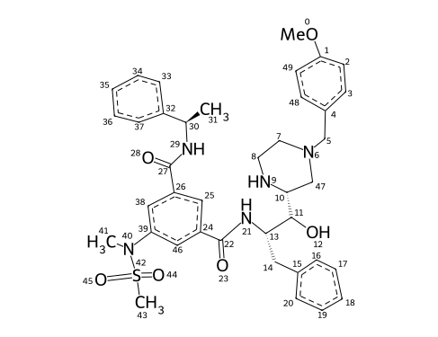 COc1ccc(CN2CCN[C@@H](C(O)[C@H](Cc3ccccc3)NC(=O)c3cc(C(=O)N[C@H](C)c4ccccc4)cc(N(C)S(C)(=O)=O)c3)C2)cc1